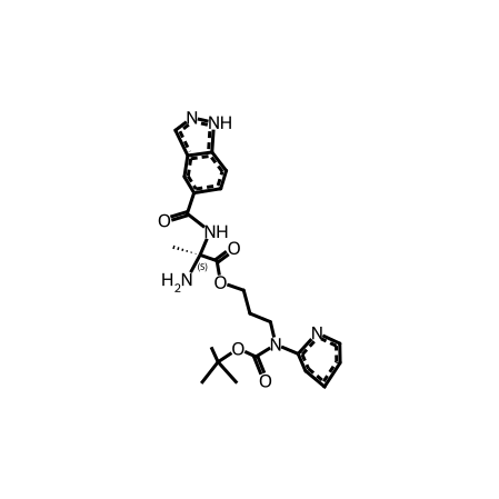 CC(C)(C)OC(=O)N(CCCOC(=O)[C@@](C)(N)NC(=O)c1ccc2[nH]ncc2c1)c1ccccn1